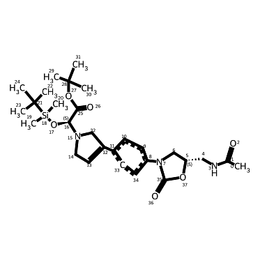 CC(=O)NC[C@H]1CN(c2ccc(C3=CCN([C@@H](O[Si](C)(C)C(C)(C)C)C(=O)OC(C)(C)C)C3)cc2)C(=O)O1